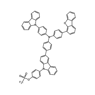 O=S(=O)(Oc1ccc(-n2c3ccccc3c3cc(-c4ccc(N(c5ccc(-c6cccc7c6oc6ccccc67)cc5)c5ccc(-n6c7ccccc7c7ccccc76)cc5)cc4)ccc32)cc1)C(F)(F)F